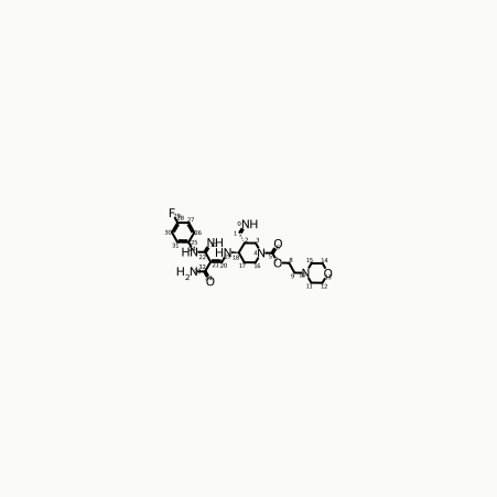 N=C[C@@H]1CN(C(=O)OCCN2CCOCC2)CC[C@H]1N/C=C(\C(=N)Nc1ccc(F)cc1)C(N)=O